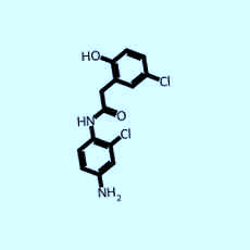 Nc1ccc(NC(=O)Cc2cc(Cl)ccc2O)c(Cl)c1